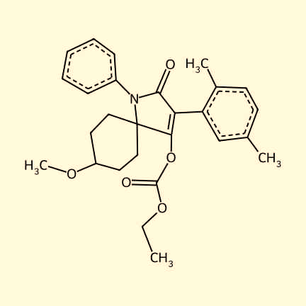 CCOC(=O)OC1=C(c2cc(C)ccc2C)C(=O)N(c2ccccc2)C12CCC(OC)CC2